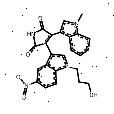 Cn1cc(C2=C(c3cn(CCCO)c4ccc([N+](=O)[O-])cc34)C(=O)NC2=O)c2ccccc21